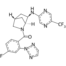 O=C(c1ccc(F)cc1-n1nccn1)N1C[C@@H]2C[C@@H](Nc3cnc(C(F)(F)F)cn3)[C@@H]1C2